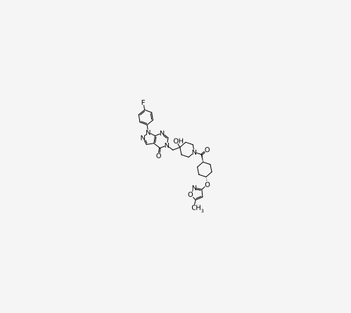 Cc1cc(O[C@H]2CC[C@H](C(=O)N3CCC(O)(Cn4cnc5c(cnn5-c5ccc(F)cc5)c4=O)CC3)CC2)no1